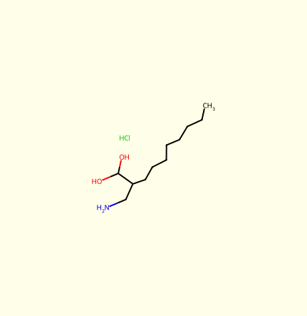 CCCCCCCCC(CN)C(O)O.Cl